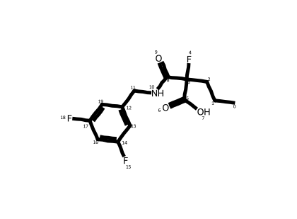 CCCC(F)(C(=O)O)C(=O)NCc1cc(F)cc(F)c1